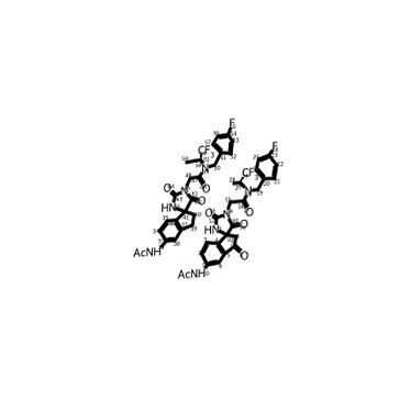 CC(=O)Nc1ccc2c(c1)C(=O)CC21NC(=O)N(CC(=O)N(Cc2ccc(F)cc2)[C@@H](C)C(F)(F)F)C1=O.CC(=O)Nc1ccc2c(c1)CCC21NC(=O)N(CC(=O)N(Cc2ccc(F)cc2)[C@@H](C)C(F)(F)F)C1=O